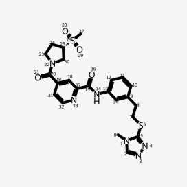 Cn1cnnc1SCCc1cccc(NC(=O)c2cc(C(=O)N3CC[C@H](S(C)(=O)=O)C3)ccn2)c1